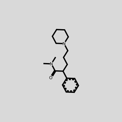 CN(C)C(=O)C(CCCN1CCCCC1)c1ccccc1